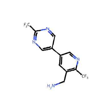 NCc1cc(-c2cnc(C(F)(F)F)nc2)cnc1C(F)(F)F